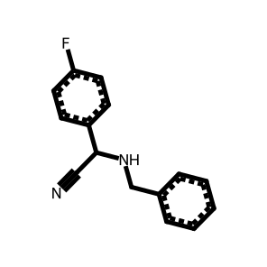 N#CC(NCc1ccccc1)c1ccc(F)cc1